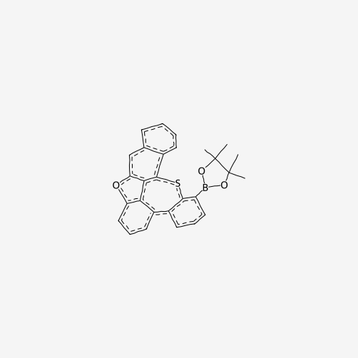 CC1(C)OB(c2cccc3c2sc2c4ccccc4cc4oc5cccc3c5c42)OC1(C)C